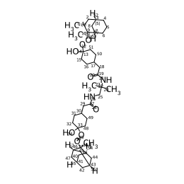 C[C@@H]1C[C@@H]2CCC[C@@H](C2)[C@@]1(C)OOC1(O)CCC(CC(=O)NC(C)(C)CNC(=O)CC2CCC(O)(OO[C@]3(C)[C@@H]4C[C@H]5C[C@@H](C4)C[C@@H]3C5)CC2)CC1